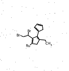 CCC1=C(C2=CC=CC2)C(C(Br)CBr)=[C]([Ru])C1